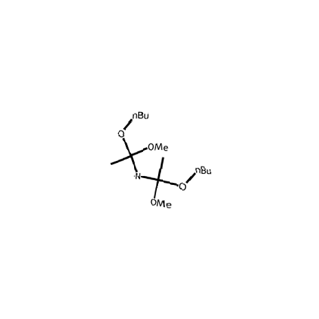 CCCCOC(C)([N]C(C)(OC)OCCCC)OC